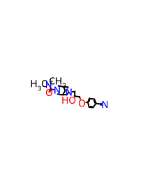 CN(C)C(=O)N1CC2CC(CN(C[C@H](O)COc3ccc(C#N)cc3)C2)C1